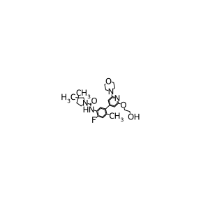 Cc1cc(F)c(NC(=O)N2CCC(C)(C)C2)cc1-c1cc(OCCO)nc(N2CCOCC2)c1